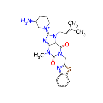 CC(C)=CCN1C(=[N+]2CCC[C@H](N)C2)N=C2C1C(=O)N(Cc1nc3ccccc3s1)C(=O)N2C